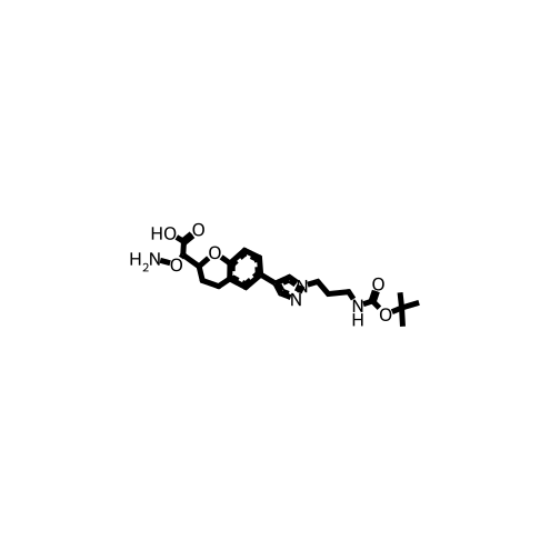 CC(C)(C)OC(=O)NCCCn1cc(-c2ccc3c(c2)CCC(C(ON)C(=O)O)O3)cn1